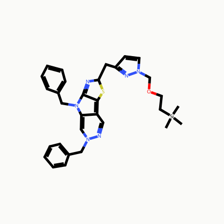 C[Si](C)(C)CCOCn1ccc(CC2N=c3c(c4c(n3Cc3ccccc3)=CN(Cc3ccccc3)N=C4)S2)n1